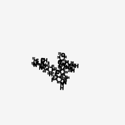 Cc1c(F)cc2[nH]ncc2c1-c1c(C2CC2)cc2c(N3C[C@@H]4C[C@H]3CN4)nc(OC3CCOCC3)nc2c1OCc1ccc(Cc2nc(-c3nccs3)n(C)n2)cc1